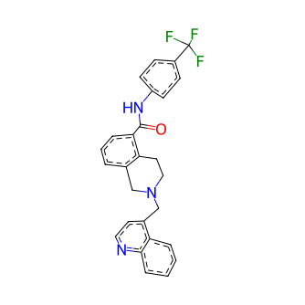 O=C(Nc1ccc(C(F)(F)F)cc1)c1cccc2c1CCN(Cc1ccnc3ccccc13)C2